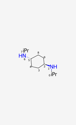 CC(C)N[C@H]1CC[C@H](NC(C)C)CC1